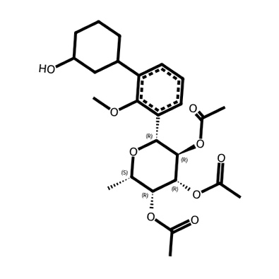 COc1c(C2CCCC(O)C2)cccc1[C@H]1O[C@@H](C)[C@@H](OC(C)=O)[C@@H](OC(C)=O)[C@@H]1OC(C)=O